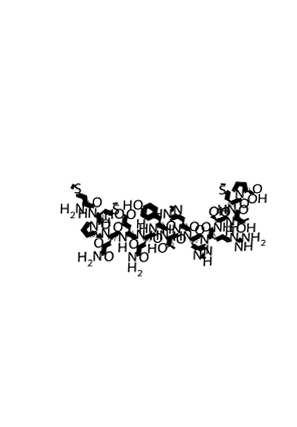 CSCC[C@H](NC(=O)[C@@H](NC(=O)[C@H](CO)NC(=O)[C@H](CCCNC(=N)N)NC(=O)[C@H](Cc1c[nH]cn1)NC(=O)[C@H](Cc1c[nH]cn1)NC(=O)[C@@H](NC(=O)[C@H](Cc1ccc(O)cc1)NC(=O)[C@H](CCC(N)=O)NC(=O)[C@H](CCC(=O)O)NC(=O)[C@H](CCC(N)=O)NC(=O)[C@@H]1CCCN1C(=O)[C@H](CCSC)NC(=O)[C@@H](N)CCSC)[C@@H](C)O)[C@@H](C)O)C(=O)N1CCC[C@H]1C(=O)O